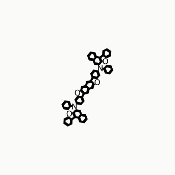 c1ccc(N(c2ccc3c(c2)oc2cc4cc5c(cc4cc23)oc2cc(N(c3ccccc3)c3cc4ccccc4c4c3oc3ccccc34)ccc25)c2cc3ccccc3c3c2oc2ccccc23)cc1